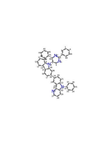 c1ccc(-c2ncc(-n3c4ccccc4c4ccc(-c5ccc6c(c5)c5ncccc5n6-c5ccccc5)cc43)c(-c3ccccc3)n2)cc1